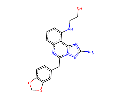 Nc1nc2c3c(NCCO)cccc3nc(Cc3ccc4c(c3)OCO4)n2n1